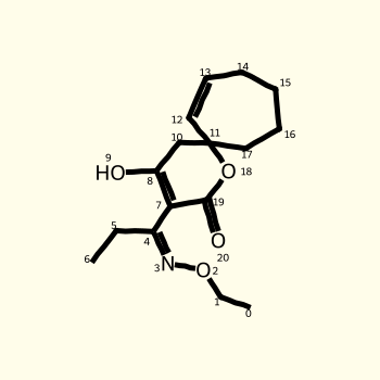 CCO/N=C(/CC)C1=C(O)CC2(C=CCCCC2)OC1=O